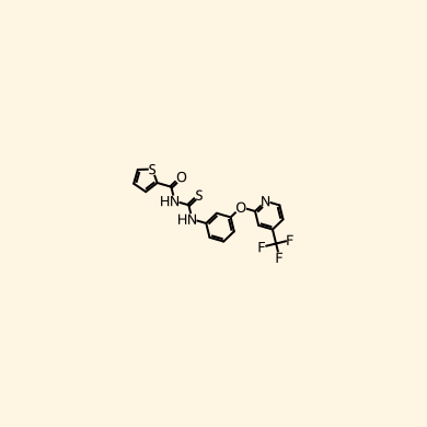 O=C(NC(=S)Nc1cccc(Oc2cc(C(F)(F)F)ccn2)c1)c1cccs1